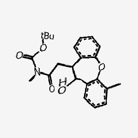 Cc1cccc2c1Oc1ccccc1C(CC(=O)N(C)C(=O)OC(C)(C)C)C2O